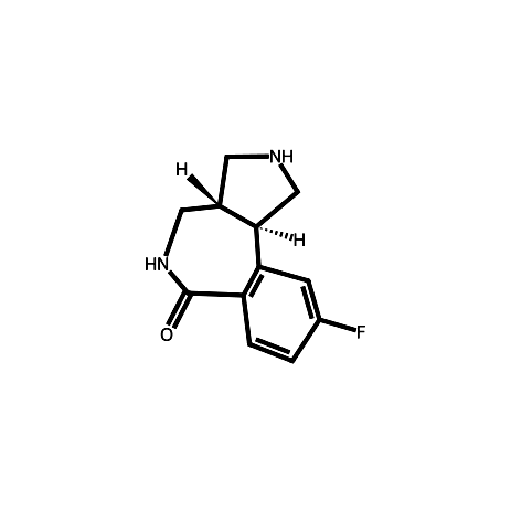 O=C1NC[C@@H]2CNC[C@H]2c2cc(F)ccc21